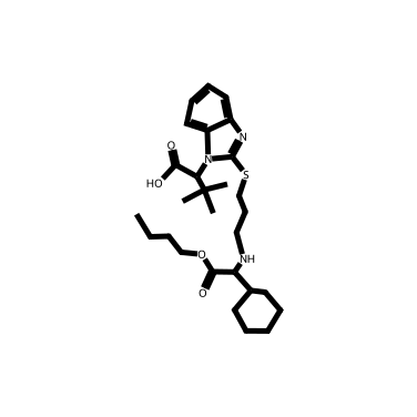 CCCCOC(=O)C(NCCCSc1nc2ccccc2n1C(C(=O)O)C(C)(C)C)C1CCCCC1